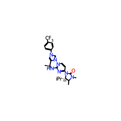 CC(C)[C@H]1C(C)N(C)C(=O)N1c1ccnc(N[C@@H](C)c2cn(-c3ccc(C(F)(F)F)cc3)cn2)n1